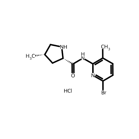 Cc1ccc(Br)nc1NC(=O)[C@@H]1C[C@H](C)CN1.Cl